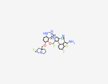 N#Cc1c(N)sc2c(F)ccc(-c3c(Cl)cn4c3C(F)Oc3c(OC[C@@]56CCCN5C[C@H](F)C6)ccc5c3[C@@H]4NCN5)c12